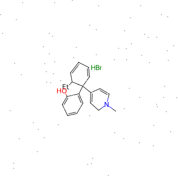 Br.CCC1C=CC=CC1(C1=CCN(C)C=C1)c1ccccc1O